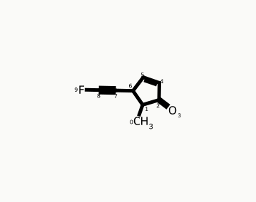 CC1C(=O)C=CC1C#CF